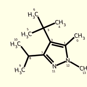 Cc1c(C(C)(C)C)c(C(C)C)nn1C